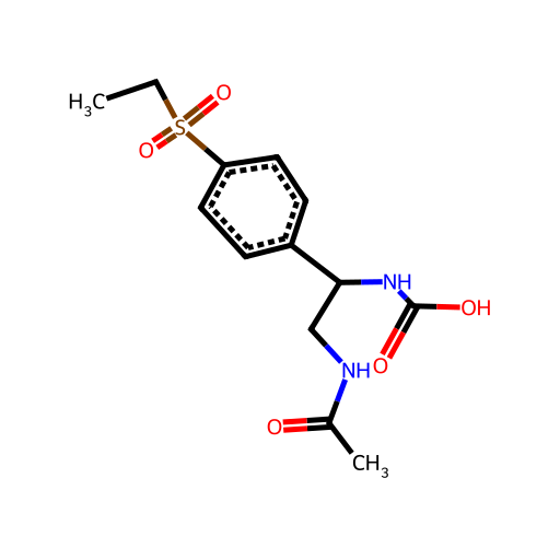 CCS(=O)(=O)c1ccc(C(CNC(C)=O)NC(=O)O)cc1